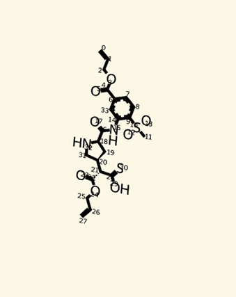 C=CCOC(=O)c1ccc(S(C)(=O)=O)c(NC(=O)C2C[C@@H]([C@@H](C(=O)OCC=C)C(O)=S)CN2)c1